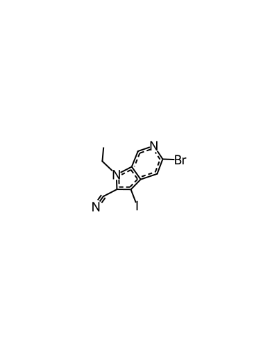 CCn1c(C#N)c(I)c2cc(Br)ncc21